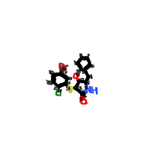 O=C1NC(Cc2ccccc2)C(=O)C1Sc1cc(Br)ccc1Cl